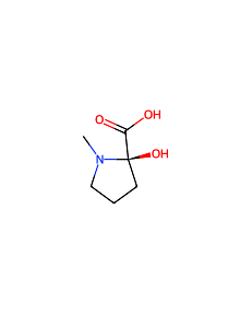 CN1CCC[C@@]1(O)C(=O)O